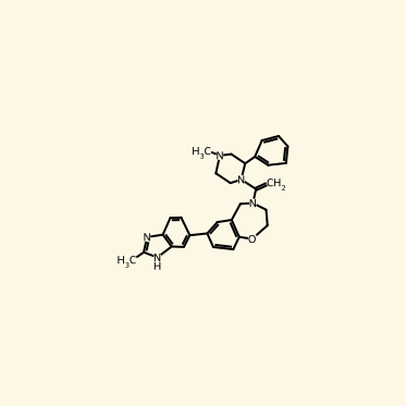 C=C(N1CCOc2ccc(-c3ccc4nc(C)[nH]c4c3)cc2C1)N1CCN(C)CC1c1ccccc1